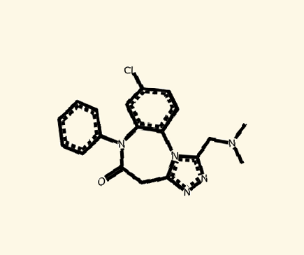 CN(C)Cc1nnc2n1-c1ccc(Cl)cc1N(c1ccccc1)C(=O)C2